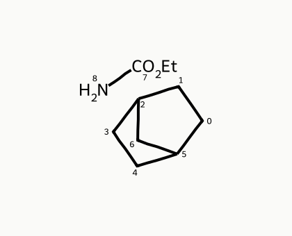 C1CC2CCC1C2.CCOC(N)=O